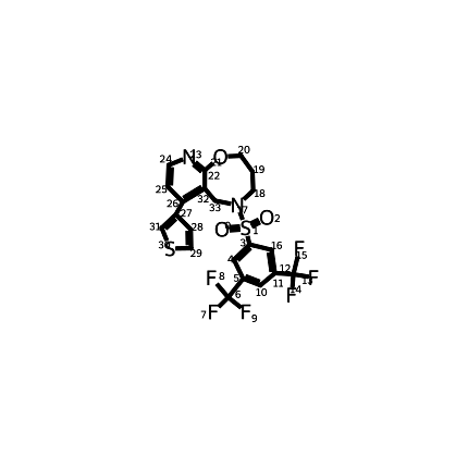 O=S(=O)(c1cc(C(F)(F)F)cc(C(F)(F)F)c1)N1CCCOc2nccc(-c3ccsc3)c2C1